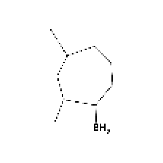 BC1CCCC(C)CC1C